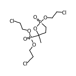 CC1(P(=O)(OCCCl)OCCCl)CCP(=O)(OCCCl)O1